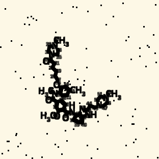 COc1cc(C(=O)N(C)c2ccc(C)cc2OCCCCCC(=O)N2CCN(C)CC2)ccc1C(=O)Nc1cccc2[nH]c(CCN3CCN(C)CC3)nc12